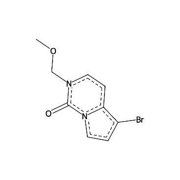 COCn1ccc2c(Br)ccn2c1=O